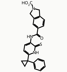 O=C(Nc1ccc(C2(c3ccccc3)CC2)[nH]c1=S)c1ccc2c(c1)CN(C(=O)O)C2